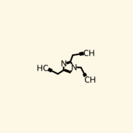 C#CCc1cn(CC#C)c(CC#C)n1